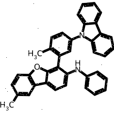 Cc1ccc2oc3c(-c4cc(-n5c6ccccc6c6ccccc65)ccc4C)c(Nc4ccccc4)ccc3c2c1